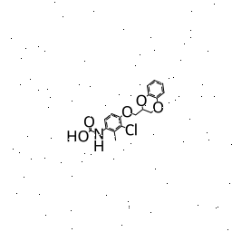 Cc1c(NC(=O)O)ccc(OCC2COc3ccccc3O2)c1Cl